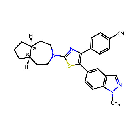 Cn1ncc2cc(-c3sc(N4CC[C@H]5CCC[C@H]5CC4)nc3-c3ccc(C#N)cc3)ccc21